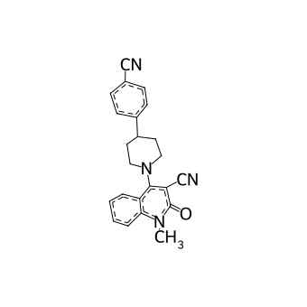 Cn1c(=O)c(C#N)c(N2CCC(c3ccc(C#N)cc3)CC2)c2ccccc21